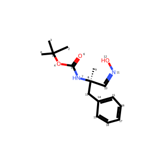 CC(C)(C)OC(=O)N[C@@](C)(/C=N\O)Cc1ccccc1